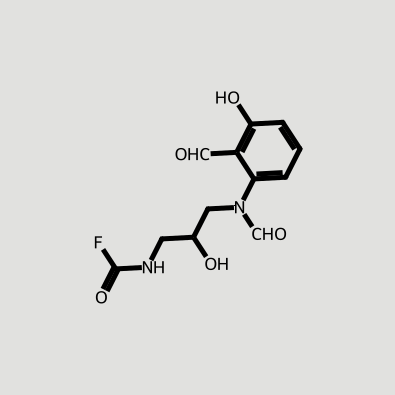 O=Cc1c(O)cccc1N(C=O)CC(O)CNC(=O)F